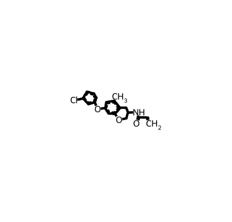 C=CC(=O)NC1COc2cc(Oc3cccc(Cl)c3)cc(C)c2C1